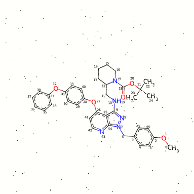 COc1ccc(Cn2nc(NCC3CCCCN3C(=O)OC(C)(C)C)c3c(Oc4ccc(Oc5ccccc5)cc4)ccnc32)cc1